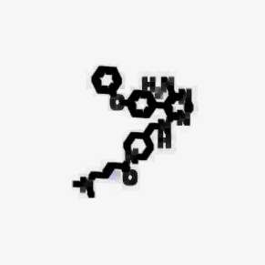 CN(C)C/C=C/C(=O)N1CCC(CNc2ncnc(N)c2-c2ccc(Oc3ccccc3)cc2)CC1